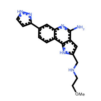 COCCNCc1cc2c(N)nc3cc(-c4cc[nH]n4)ccc3c2[nH]1